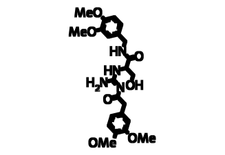 COc1ccc(CNC(=O)C(CO)NC(N)=NC(=O)Cc2ccc(OC)c(OC)c2)cc1OC